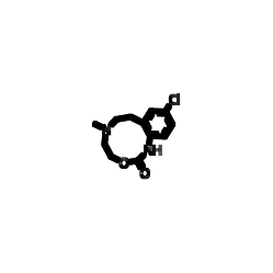 CN1CCOC(=O)Nc2ccc(Cl)cc2CC1